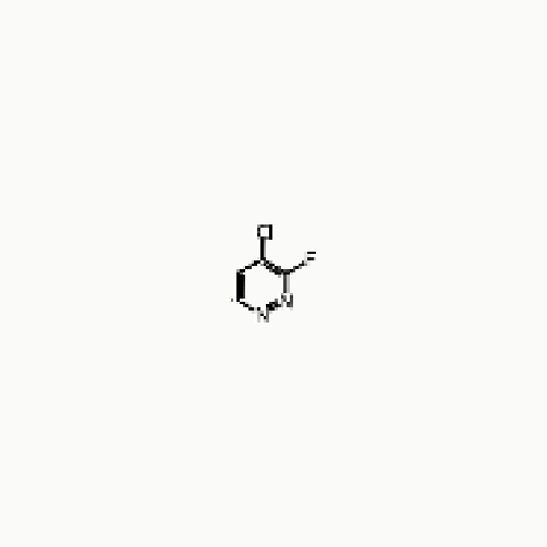 Fc1nn[c]cc1Cl